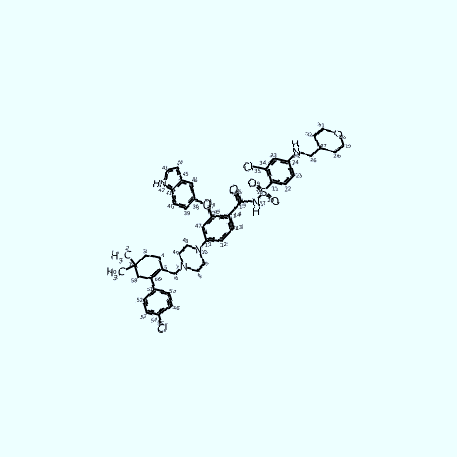 CC1(C)CCC(CN2CCN(c3ccc(C(=O)NS(=O)(=O)c4ccc(NCC5CCOCC5)cc4Cl)c(Oc4ccc5[nH]ccc5c4)c3)CC2)=C(c2ccc(Cl)cc2)C1